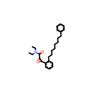 CCN(CC)C(=O)C1OC1c1ccccc1CCCCCCCCc1ccccc1